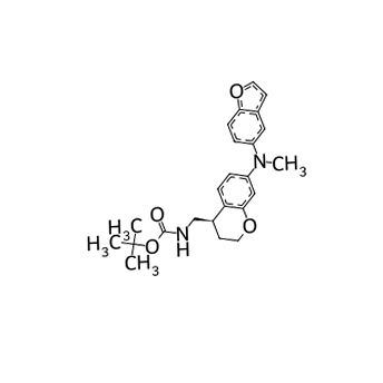 CN(c1ccc2c(c1)OCC[C@H]2CNC(=O)OC(C)(C)C)c1ccc2occc2c1